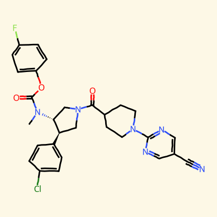 CN(C(=O)Oc1ccc(F)cc1)[C@@H]1CN(C(=O)C2CCN(c3ncc(C#N)cn3)CC2)C[C@H]1c1ccc(Cl)cc1